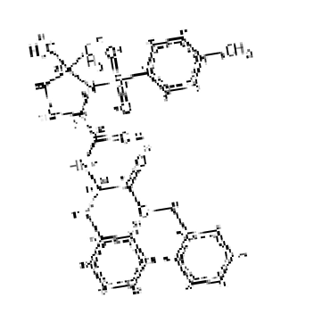 Cc1ccc(S(=O)(=O)N2[C@H](C(=O)N[C@@H](Cc3ccccc3)C(=O)OCc3ccccc3)SCC2(C)C)cc1